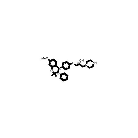 COc1ccc2c(c1)OC(C)(C)[C@@H](c1ccccc1)[C@@H]2c1ccc(OC[C@@H](O)CN2CCNCC2)cc1